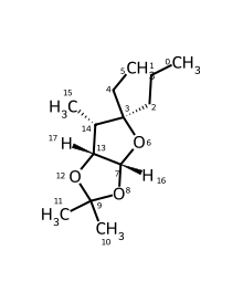 CCC[C@]1(CC)O[C@@H]2OC(C)(C)O[C@@H]2[C@@H]1C